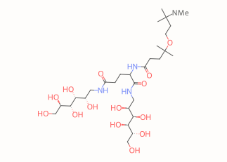 CNC(C)(C)CCOC(C)(C)CCC(=O)NC(CCC(=O)NC[C@H](O)[C@@H](O)[C@H](O)[C@H](O)CO)C(=O)NC[C@H](O)[C@@H](O)[C@H](O)[C@H](O)CO